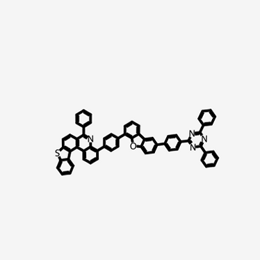 c1ccc(-c2nc(-c3ccccc3)nc(-c3ccc(-c4ccc5oc6c(-c7ccc(-c8cccc9c8nc(-c8ccccc8)c8ccc%10sc%11ccccc%11c%10c89)cc7)cccc6c5c4)cc3)n2)cc1